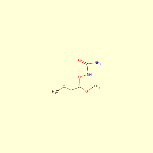 COCC(OC)ONC(N)=O